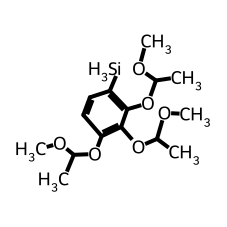 COC(C)Oc1ccc([SiH3])c(OC(C)OC)c1OC(C)OC